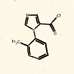 Cc1ccccc1-n1cncc1C(=O)Cl